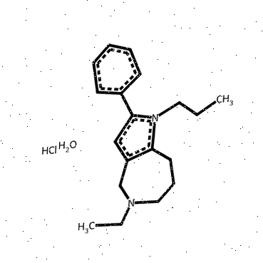 CCCn1c(-c2ccccc2)cc2c1CCCN(CC)C2.Cl.O